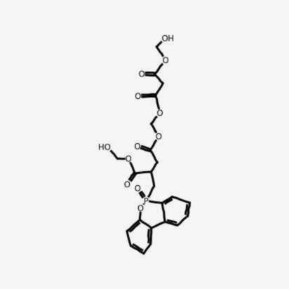 O=C(CC(=O)OCOC(=O)CC(CP1(=O)Oc2ccccc2-c2ccccc21)C(=O)OCO)OCO